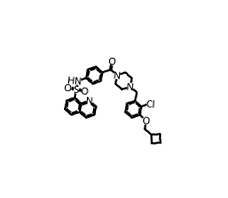 O=C(c1ccc(NS(=O)(=O)c2cccc3cccnc23)cc1)N1CCN(Cc2cccc(OCC3CCC3)c2Cl)CC1